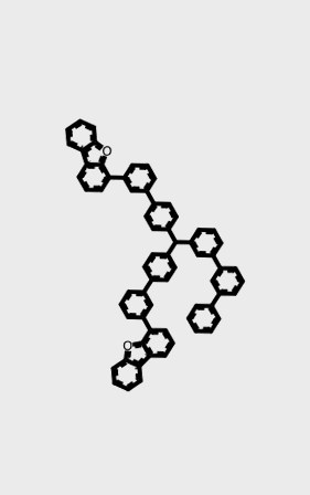 c1ccc(-c2cccc(-c3cccc(C(c4ccc(-c5cccc(-c6cccc7c6oc6ccccc67)c5)cc4)c4ccc(-c5cccc(-c6cccc7c6oc6ccccc67)c5)cc4)c3)c2)cc1